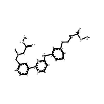 CN(CC(=O)OC(C)(C)C)Cc1cc(-c2ncnc(Nc3cccc(CCNC(=O)OC(C)(C)C)c3)n2)ccn1